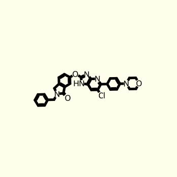 O=C1c2cc(Oc3nc4nc(C5C=CC(N6CCOCC6)=CC5)c(Cl)cc4[nH]3)ccc2CN1Cc1ccccc1